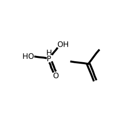 C=C(C)C.O=[PH](O)O